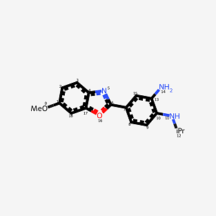 COc1ccc2nc(-c3ccc(NC(C)C)c(N)c3)oc2c1